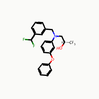 O[C@H](CN(Cc1cccc(C(F)F)c1)c1cccc(Oc2ccccc2)c1)C(F)(F)F